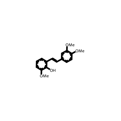 COc1ccc(C=Cc2cccc(OC)c2O)cc1OC